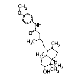 C=C1CC[C@@H]2C(C)(C)[C@H](O)CC[C@@]2(C)[C@@H]1CC/C(C)=C/C(=O)Nc1ccc(OC)cc1